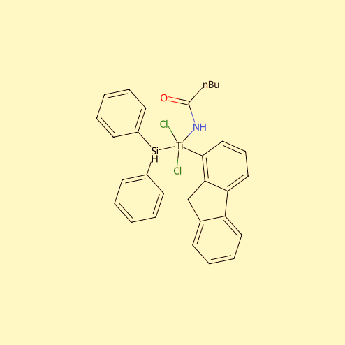 CCCCC(=O)[NH][Ti]([Cl])([Cl])([c]1cccc2c1Cc1ccccc1-2)[SiH](c1ccccc1)c1ccccc1